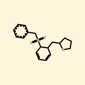 O=S(=O)(Cc1ccccc1)C1C=CC=CC1CC1CCCO1